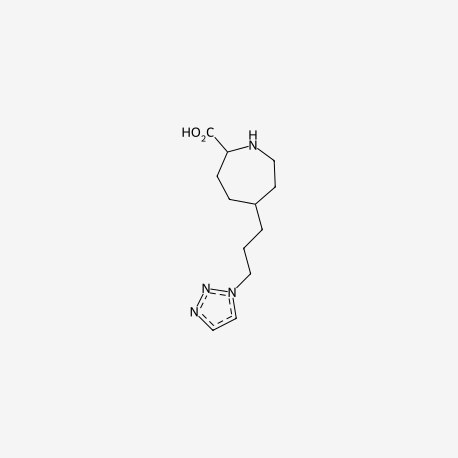 O=C(O)C1CCC(CCCn2ccnn2)CCN1